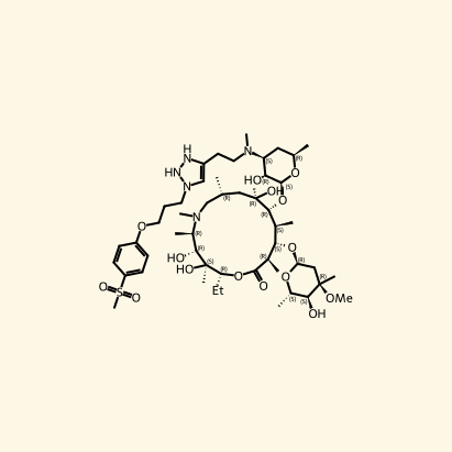 CC[C@H]1OC(=O)[C@H](C)[C@@H](O[C@H]2C[C@@](C)(OC)[C@@H](O)[C@H](C)O2)[C@H](C)[C@@H](O[C@@H]2O[C@H](C)C[C@H](N(C)CCC3=CN(CCCOc4ccc(S(C)(=O)=O)cc4)NN3)[C@H]2O)[C@](C)(O)C[C@@H](C)CN(C)[C@H](C)[C@@H](O)[C@]1(C)O